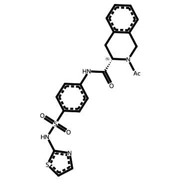 CC(=O)N1Cc2ccccc2C[C@H]1C(=O)Nc1ccc(S(=O)(=O)Nc2nccs2)cc1